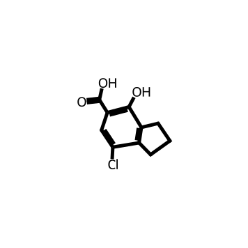 O=C(O)c1cc(Cl)c2c(c1O)CCC2